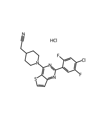 Cl.N#CCC1CCN(c2nc(-c3cc(F)c(Cl)cc3F)nc3ccsc23)CC1